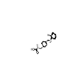 O=C(O)NC[C@H]1CC[C@@H](COc2ccccc2F)CC1